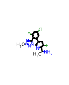 C[C@@H](N)c1ncc(-c2cc(Cl)cc(F)c2-c2nnn(C)n2)cc1F